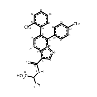 CC(C)C(NC(=O)c1cnn2c(-c3ccc(Cl)cc3)c(-c3ccccc3Cl)cnc12)C(=O)O